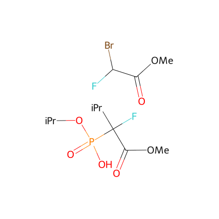 COC(=O)C(F)(C(C)C)P(=O)(O)OC(C)C.COC(=O)C(F)Br